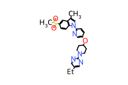 CCc1cnc(N2CCC(Oc3ccc(-n4cc(C)c5cc(S(C)(=O)=O)ccc54)nc3)CC2)nc1